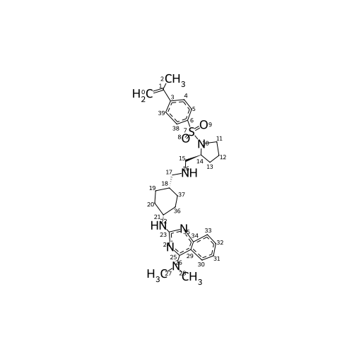 C=C(C)c1ccc(S(=O)(=O)N2CCC[C@H]2CNC[C@H]2CC[C@@H](Nc3nc(N(C)C)c4ccccc4n3)CC2)cc1